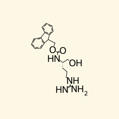 N=C(N)NCCC[C@@H](CO)NC(=O)OCC1c2ccccc2-c2ccccc21